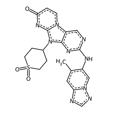 Cc1cc2ncnn2cc1Nc1ncc2c(n1)n(C1CCS(=O)(=O)CC1)c1nc(=O)ccn21